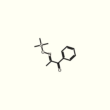 CC(=NO[Si](C)(C)C)C(=O)c1ccccc1